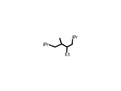 CCC(CC(C)C)[C](C)CC(C)C